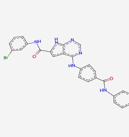 O=C(Nc1ccccc1)c1ccc(Nc2ncnc3[nH]c(C(=O)Nc4cccc(Br)c4)cc23)cc1